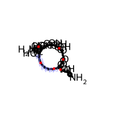 CC1/C=C/C=C/C=C/C=C/C=C/C=C/C=C/C(OC2O[C@H](C)[C@@H](O)[C@H](N)[C@@H]2O)CC(O)C(C(=O)O)C(O)CC(=O)CC(O)CC(O)CC(O)CC(=O)CCCC(=O)CC(=O)OC1C(C)CC(C)C(O)CC(=O)c1ccc(N)cc1